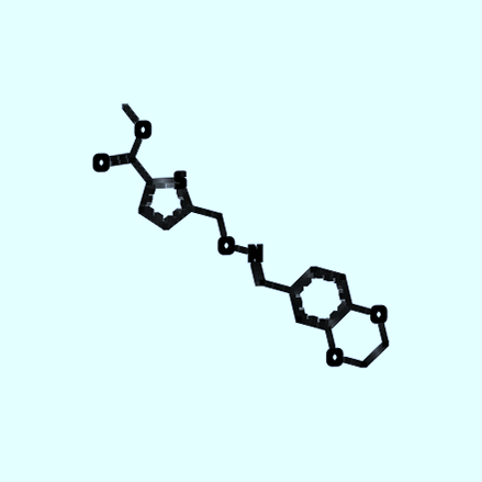 COC(=O)c1ccc(CON=Cc2ccc3c(c2)OCCO3)s1